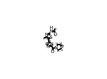 CC(=O)Nc1nc(C)c(-c2nc(C(=O)N3CCOCC3)no2)s1